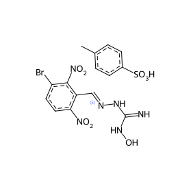 Cc1ccc(S(=O)(=O)O)cc1.N=C(NO)N/N=C/c1c([N+](=O)[O-])ccc(Br)c1[N+](=O)[O-]